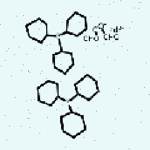 C1CCC(P(C2CCCCC2)C2CCCCC2)CC1.C1CCC(P(C2CCCCC2)C2CCCCC2)CC1.O=C[O-].O=C[O-].[Pd+2]